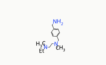 CCN(C)CCN(C)Cc1ccc(CN)cc1